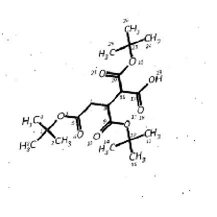 CC(C)(C)OC(=O)CC(C(=O)OC(C)(C)C)C(C(=O)O)C(=O)OC(C)(C)C